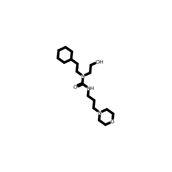 O=C(NCCCN1CCOCC1)N(CCO)CCC1CCCCC1